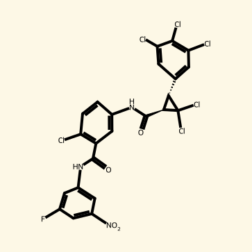 O=C(Nc1cc(F)cc([N+](=O)[O-])c1)c1cc(NC(=O)[C@H]2[C@H](c3cc(Cl)c(Cl)c(Cl)c3)C2(Cl)Cl)ccc1Cl